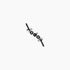 CCCCCC[C@H](F)C(=O)O[C@H]1CC[C@H](c2ccc([C@H]3CC[C@H](OC(=O)[C@@H](F)CCCCCC)CC3)c(F)c2)CC1